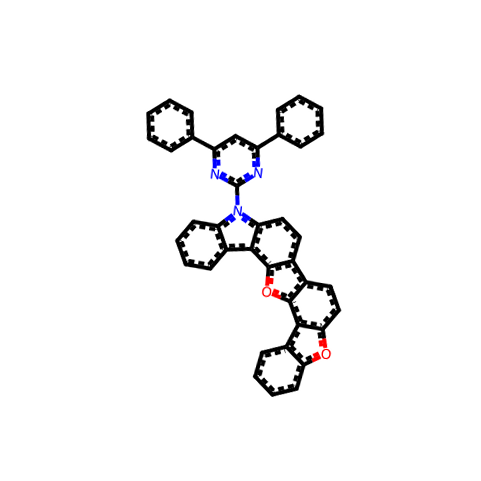 c1ccc(-c2cc(-c3ccccc3)nc(-n3c4ccccc4c4c5oc6c(ccc7oc8ccccc8c76)c5ccc43)n2)cc1